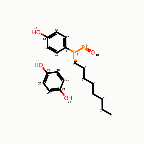 CCCCCCCC=[PH](P=O)c1ccc(O)cc1.Oc1ccc(O)cc1